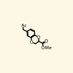 COC(=O)C1COc2cc(CC(C)=O)ccc2O1